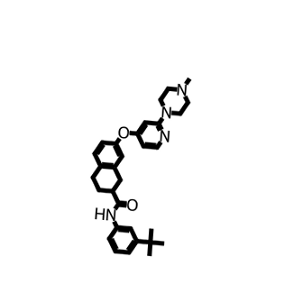 CN1CCN(c2cc(Oc3ccc4c(c3)CC(C(=O)Nc3cccc(C(C)(C)C)c3)CC4)ccn2)CC1